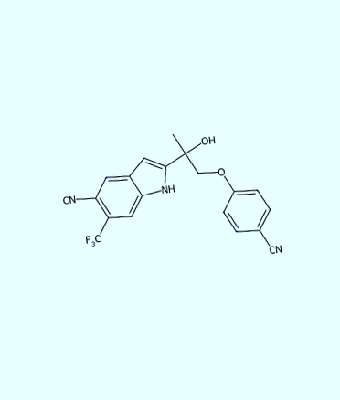 [C-]#[N+]c1cc2cc(C(C)(O)COc3ccc(C#N)cc3)[nH]c2cc1C(F)(F)F